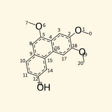 COc1cc2c(OC)cc3ccc(O)cc3c2cc1OC